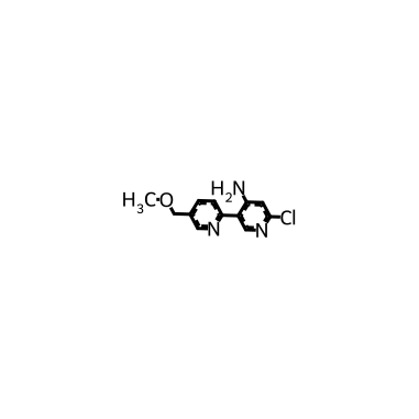 COCc1ccc(-c2cnc(Cl)cc2N)nc1